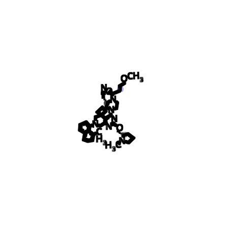 COC/C=C/C(=O)N1CCN(c2nc(OC[C@@H]3CCCN3C)nc3c2C2(CCC2)CN(c2cccc4cccc(C)c24)C3)C[C@@H]1CC#N